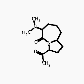 CC(=O)C1CCC2CCCC(N(C)C)C(=O)N21